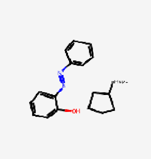 CCCCCCCC1CCCC1.Oc1ccccc1N=Nc1ccccc1